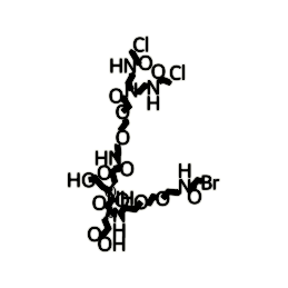 O=C(O)CC[C@H](NC(=O)COCCOCCNC(=O)CBr)C(=O)N[C@H](CCC(=O)NCCOCCOCC(=O)N(CCNC(=O)CCl)CCNC(=O)CCl)CC(=O)O